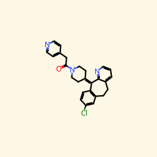 O=C(Cc1ccncc1)N1CCC(=C2c3ccc(Cl)cc3CCc3cccnc32)CC1